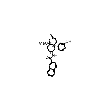 CO[C@]12CC[C@@H](NC(=O)c3ccc4ccccc4c3)C[C@]1(c1cccc(O)c1)CCN(C)C2